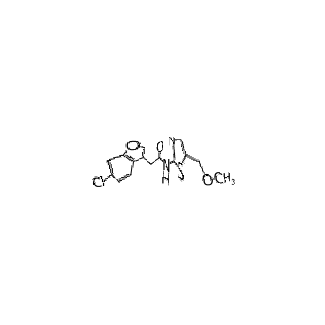 COCc1cnc(NC(=O)Cc2coc3cc(Cl)ccc23)s1